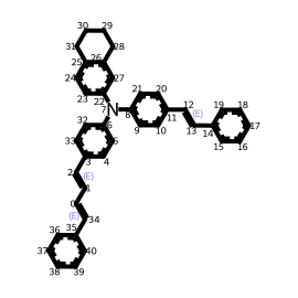 C(/C=C/c1ccc(N(c2ccc(/C=C/c3ccccc3)cc2)c2ccc3c(c2)CCCC3)cc1)=C\c1ccccc1